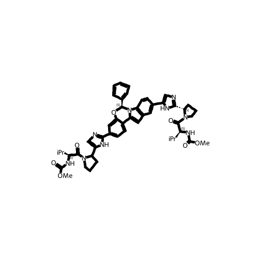 COC(=O)N[C@H](C(=O)N1CCCC1c1cnc(-c2ccc3c(c2)O[C@@H](c2ccccc2)n2c-3cc3cc(-c4cnc([C@@H]5CCCN5C(=O)[C@@H](NC(=O)OC)C(C)C)[nH]4)ccc32)[nH]1)C(C)C